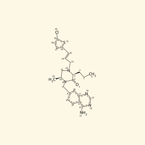 CCC[C@H]1C(=O)N(Cc2ccc3c(N)ncnc3c2)[C@@H](C)CN1CC=Cc1ccc(Cl)s1